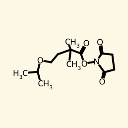 CC(C)OCCC(C)(C)C(=O)ON1C(=O)CCC1=O